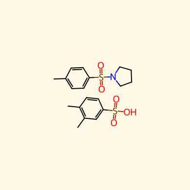 Cc1ccc(S(=O)(=O)N2CCCC2)cc1.Cc1ccc(S(=O)(=O)O)cc1C